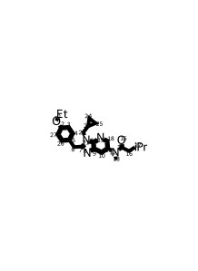 CCOc1ccc(Cc2nc3cc(N(C)C(=O)CC(C)C)cnc3n2CC2CC2)cc1